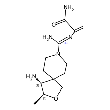 C=C(/N=C(\N)N1CCC2(CC1)CO[C@@H](C)[C@H]2N)C(N)=O